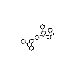 c1ccc(-c2nc(-c3ccc(-c4ccc5c(-c6ccccc6)cc6ccccc6c5c4)cc3)nc(-c3cccc4oc5ccccc5c34)n2)cc1